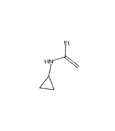 C=C(CC)NC1CC1